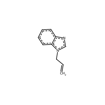 C=CCn1[c]nc2ccccc21